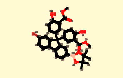 COC(=O)c1cc(C2(c3ccc(O)c(C(=O)OC)c3)c3cc(Br)ccc3-c3ccc(B4OC(C)(C)C(C)(C)O4)cc32)ccc1O